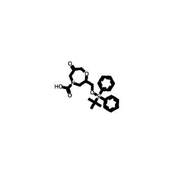 CC(C)(C)[Si](OCC1CN(C(=O)O)CC(=O)CO1)(c1ccccc1)c1ccccc1